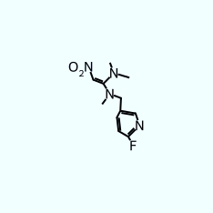 CN(C)C(=C[N+](=O)[O-])N(C)Cc1ccc(F)nc1